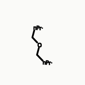 CC[CH]COC[CH]CC